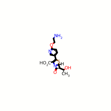 C[C@@H](O)[C@H]1C(=O)N2C(C(=O)O)=C(c3ccc(OCCN)nc3)S[C@H]12